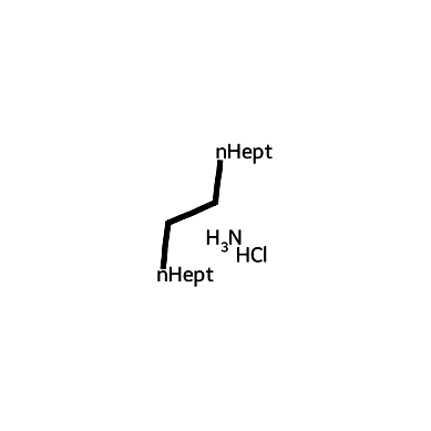 Cl.N.[CH2]CCCCCCCCCCCCCCC